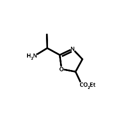 CCOC(=O)C1CN=C(C(C)N)O1